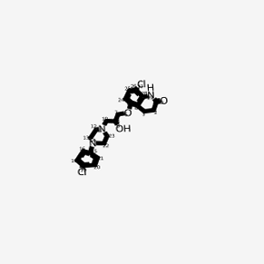 O=C1CCc2c(OCC(O)CN3CCN(c4ccc(Cl)cc4)CC3)ccc(Cl)c2N1